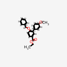 CCOC(=O)c1ccc(OCc2ccccc2)c(-c2ccc(OC)cc2)c1